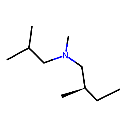 CC[C@@H](C)CN(C)CC(C)C